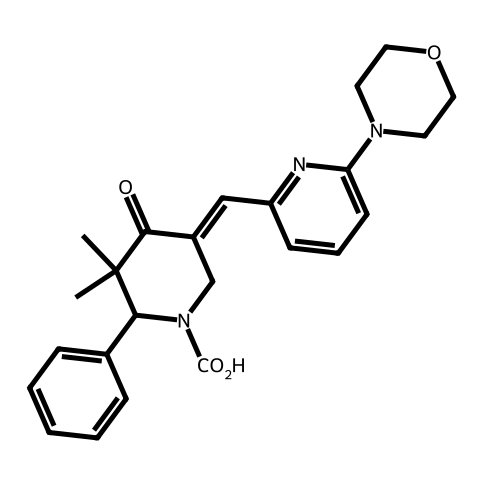 CC1(C)C(=O)C(=Cc2cccc(N3CCOCC3)n2)CN(C(=O)O)C1c1ccccc1